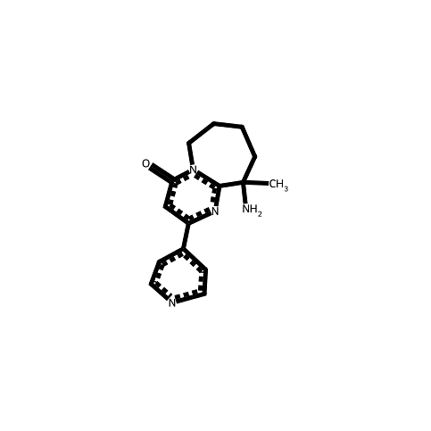 CC1(N)CCCCn2c1nc(-c1ccncc1)cc2=O